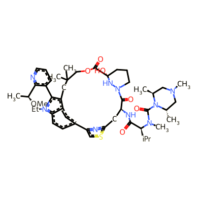 CCn1c(-c2cccnc2[C@H](C)OC)c2c3cc(ccc31)-c1csc(n1)C[C@H](NC(=O)[C@H](C(C)C)N(C)C(=O)N1[C@@H](C)CN(C)C[C@@H]1C)C(=O)N1CCC[C@@](O)(N1)C(=O)OCC(C)(C)C2